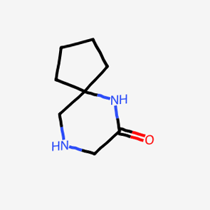 O=C1CNCC2(CCCC2)N1